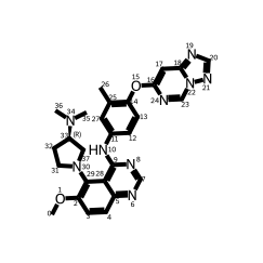 COc1ccc2ncnc(Nc3ccc(Oc4cc5ncnn5cn4)c(C)c3)c2c1N1CC[C@@H](N(C)C)C1